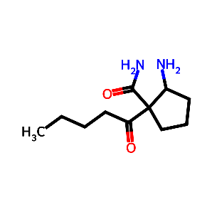 CCCCC(=O)C1(C(N)=O)CCCC1N